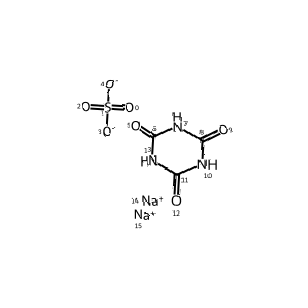 O=S(=O)([O-])[O-].O=c1[nH]c(=O)[nH]c(=O)[nH]1.[Na+].[Na+]